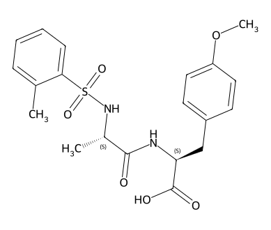 COc1ccc(C[C@H](NC(=O)[C@H](C)NS(=O)(=O)c2ccccc2C)C(=O)O)cc1